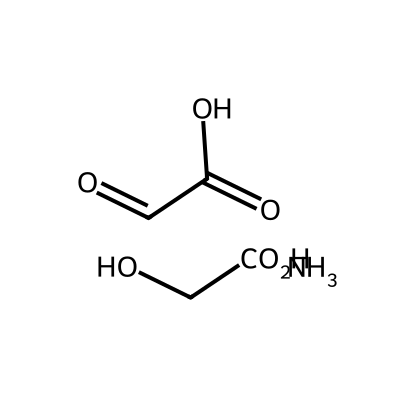 N.O=C(O)CO.O=CC(=O)O